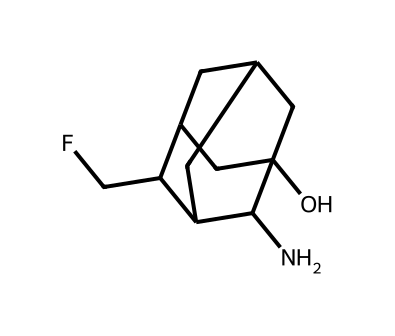 NC1C2CC3CC(CC1(O)C3)C2CF